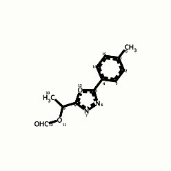 Cc1ccc(-c2nnc(C(C)OC=O)o2)cc1